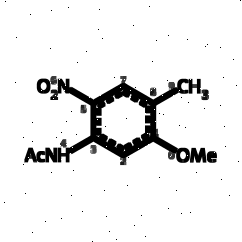 COc1cc(NC(C)=O)c([N+](=O)[O-])cc1C